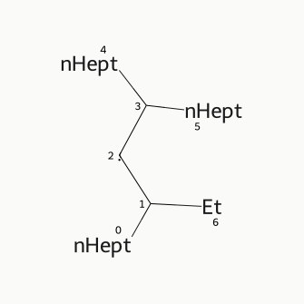 CCCCCCCC([CH]C(CCCCCCC)CCCCCCC)CC